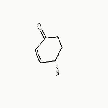 C[C@@H]1C=CC(=O)CC1